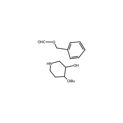 CC(C)COC1CCNCC1O.O=COCc1ccccc1